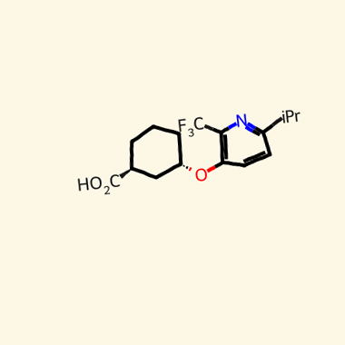 CC(C)c1ccc(O[C@H]2CCC[C@H](C(=O)O)C2)c(C(F)(F)F)n1